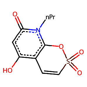 CCCn1c2c(c(O)cc1=O)C=CS(=O)(=O)O2